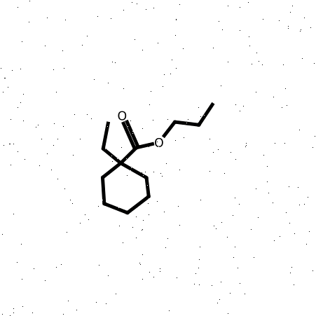 CCCOC(=O)C1(CC)CCCCC1